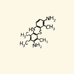 Cc1c(C)c2c(c(C)c1N)Sc1c(ccc(N)c1C)N2